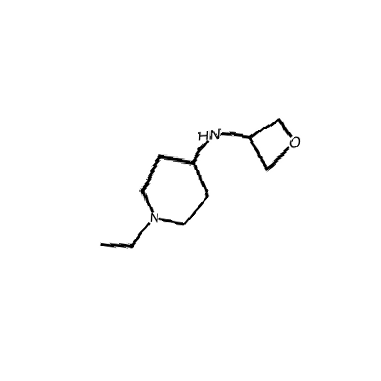 CCN1CCC(NC2COC2)CC1